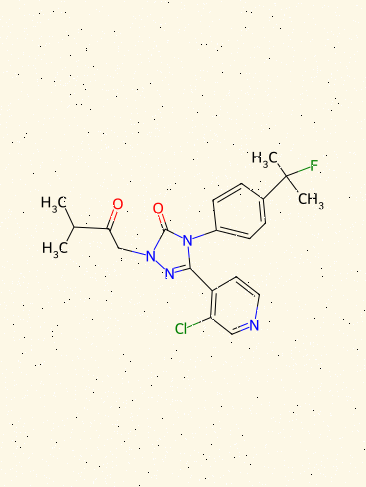 CC(C)C(=O)Cn1nc(-c2ccncc2Cl)n(-c2ccc(C(C)(C)F)cc2)c1=O